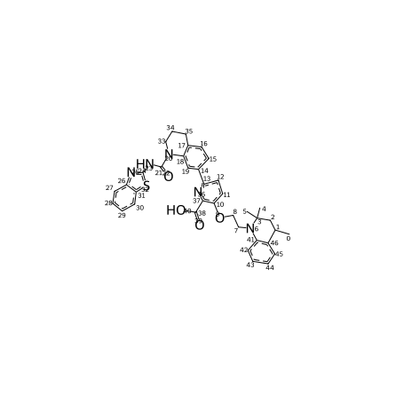 CC1CC(C)(C)N(CCOc2ccc(-c3ccc4c(c3)N(C(=O)Nc3nc5ccccc5s3)CCC4)nc2C(=O)O)c2ccccc21